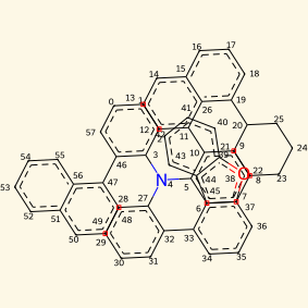 c1ccc(N(c2ccccc2-c2cccc3cccc(C4CCCCC4)c23)c2ccccc2-c2cccc3oc4ccccc4c23)c(-c2cccc3ccccc23)c1